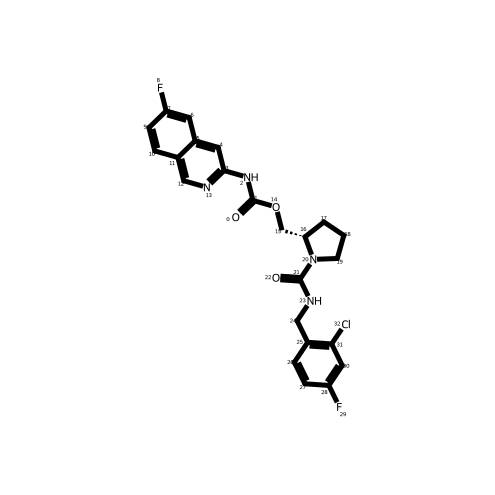 O=C(Nc1cc2cc(F)ccc2cn1)OC[C@@H]1CCCN1C(=O)NCc1ccc(F)cc1Cl